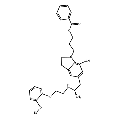 CCOc1ccccc1OCCN[C@H](C)Cc1cc(C#N)c2c(c1)CCN2CCCOC(=O)c1ccccc1